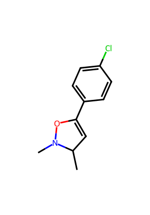 CC1C=C(c2ccc(Cl)cc2)ON1C